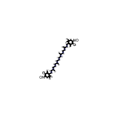 CC1=C(/C=C/C(C)=C/C=C/C(C)=C/C=C/C=C(C)/C=C/C=C(C)/C=C/C2=C(C)C(=O)C(N=O)CC2(C)C)C(C)(C)CC(N=O)C1=O